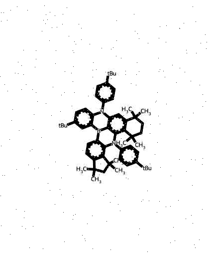 CC(C)(C)c1ccc(N2c3ccc(C(C)(C)C)cc3B3c4ccc5c(c4N(c4ccc(C(C)(C)C)cc4)c4c3c2cc2c4C(C)(C)CCC2(C)C)C(C)(C)CC5(C)C)cc1